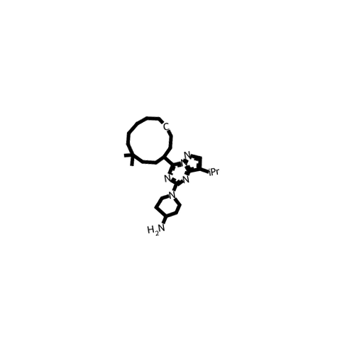 CC(C)c1cnn2c(C3CCCCCCCCC(C)(C)CC3)nc(N3CCC(N)CC3)nc12